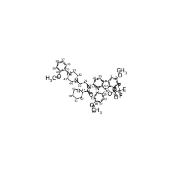 COc1ccc(S(OS(=O)(=O)C(F)(F)F)(c2ccc(OC)cc2)c2cccc(N(CCN3CCN(c4ccccc4OC)CC3)C(=O)C3CCCCC3)n2)cc1